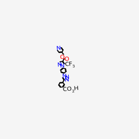 O=C(O)c1cccc(-c2cn(-c3ccc(-n4ncc(C(=O)OCc5ccncc5)c4C(F)(F)F)cc3)nn2)c1